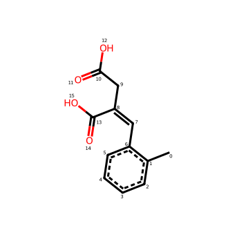 Cc1ccccc1C=C(CC(=O)O)C(=O)O